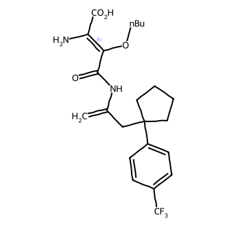 C=C(CC1(c2ccc(C(F)(F)F)cc2)CCCC1)NC(=O)/C(OCCCC)=C(\N)C(=O)O